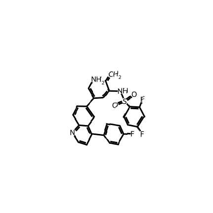 C=C/C(=C\C(=C/N)c1ccc2nccc(-c3ccc(F)cc3)c2c1)NS(=O)(=O)c1ccc(F)cc1F